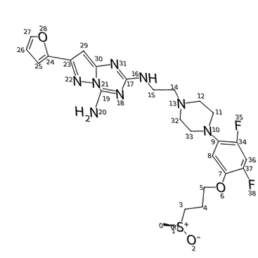 C[S@+]([O-])CCCOc1cc(N2CCN(CCNc3nc(N)n4nc(-c5ccco5)cc4n3)CC2)c(F)cc1F